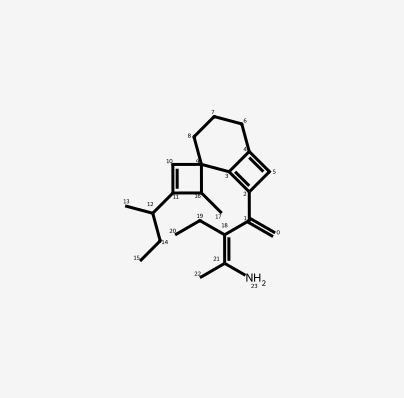 C=C(C1=C2C(=C1)CCCC21C=C(C(C)CC)C1C)/C(CC)=C(/C)N